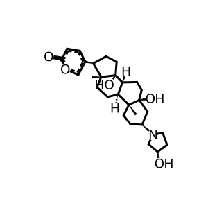 C[C@]12CC[C@H](N3CC[C@@H](O)C3)C[C@@]1(O)CC[C@@H]1[C@@H]2CC[C@]2(C)[C@@H](c3ccc(=O)oc3)CC[C@]12O